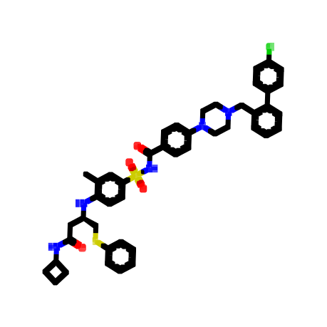 Cc1cc(S(=O)(=O)NC(=O)c2ccc(N3CCN(Cc4ccccc4-c4ccc(Cl)cc4)CC3)cc2)ccc1N[C@@H](CSc1ccccc1)CC(=O)NC1CCC1